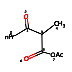 CCCC(=O)C(C)C(=O)OC(C)=O